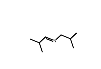 CC(C)/C=N/CC(C)C